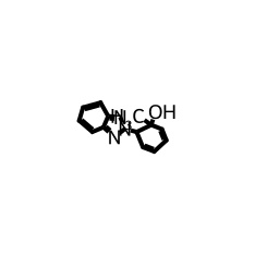 CC1(O)C=CC=CC1n1nc2ccccc2n1